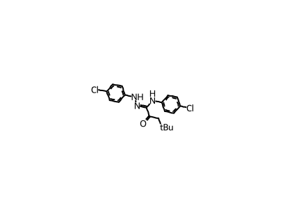 CC(C)(C)CC(=O)/C(=N/Nc1ccc(Cl)cc1)Nc1ccc(Cl)cc1